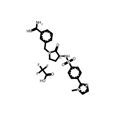 Cn1ccnc1-c1ccc(S(=O)(=O)N[C@H]2CCN(Cc3cccc(C(=N)N)c3)C2=O)cc1.O=C(O)C(F)(F)F